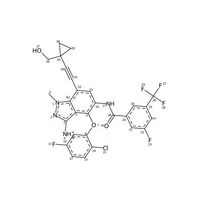 Cn1nc(N)c2c(Oc3cc(F)ccc3Cl)c(NC(=O)c3cc(F)cc(C(F)(F)F)c3)cc(C#CC3(CO)CC3)c21